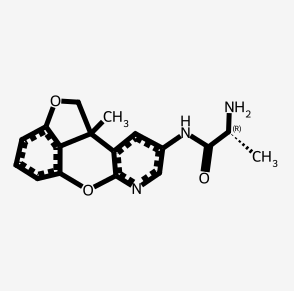 C[C@@H](N)C(=O)Nc1cnc2c(c1)C1(C)COc3cccc(c31)O2